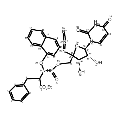 CCOC(=O)C(Cc1ccccc1)N(Oc1cccc2ccccc12)[PH](=O)OC[C@@]1(N=[N+]=[N-])O[C@@H](n2ccc(=O)[nH]c2=O)[C@H](O)[C@@H]1O